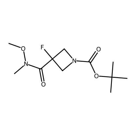 CON(C)C(=O)C1(F)CN(C(=O)OC(C)(C)C)C1